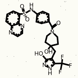 O=C(c1ccc(NS(=O)(=O)c2cccc3nccnc23)cc1)N1CCC(O)(Cc2c(O)n[nH]c2C(F)(F)F)CC1